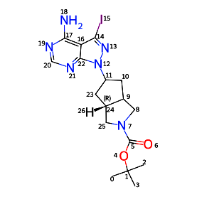 CC(C)(C)OC(=O)N1CC2CC(n3nc(I)c4c(N)ncnc43)C[C@H]2C1